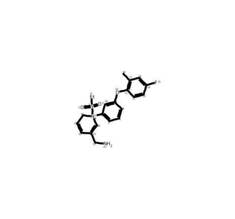 CCS(=O)(=O)[N+]1(c2cccc(Oc3ccc(F)cc3C)c2)C=C(CN)C=CC1